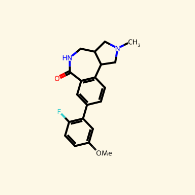 COc1ccc(F)c(-c2ccc3c(c2)C(=O)NCC2CN(C)CC32)c1